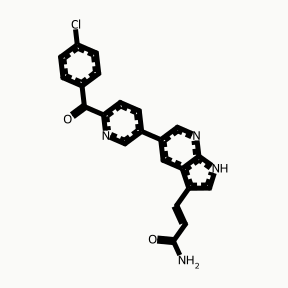 NC(=O)C=Cc1c[nH]c2ncc(-c3ccc(C(=O)c4ccc(Cl)cc4)nc3)cc12